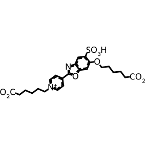 O=C(O)CCCCCOc1cc2oc(-c3cc[n+](CCCCCC(=O)O)cc3)nc2cc1S(=O)(=O)O